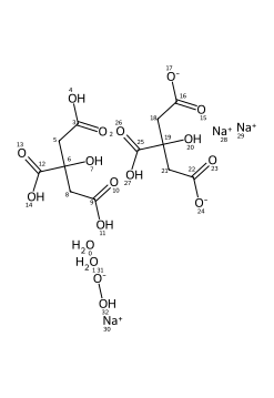 O.O.O=C(O)CC(O)(CC(=O)O)C(=O)O.O=C([O-])CC(O)(CC(=O)[O-])C(=O)O.[Na+].[Na+].[Na+].[O-]O